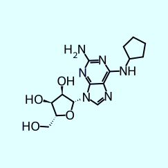 Nc1nc(NC2CCCC2)c2ncn([C@@H]3O[C@H](CO)[C@@H](O)[C@H]3O)c2n1